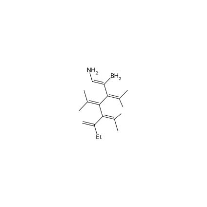 B/C(=C\N)C(=C(C)C)C(=C(C)C)C(C(=C)CC)=C(C)C